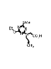 C=CCN(CC(=O)O)c1nc(OCC)nc(SC)n1